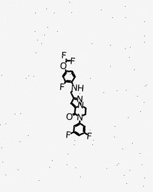 O=C1c2cc(CNc3ccc(OC(F)F)cc3F)nn2CCN1c1cc(F)cc(F)c1